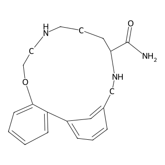 NC(=O)C1CCCNCCOc2ccccc2-c2cccc(c2)CN1